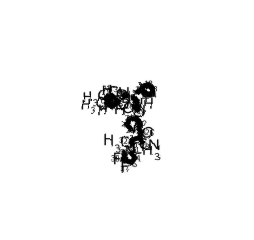 CC1(C)[C@@H]2C[C@H]3OB([C@H](Cc4ccccc4)NC(=O)O[C@H]4CCCN(C(=O)C(C#N)CC(C)(C)N5CCC(F)(F)C5)C4)O[C@@]3(C)[C@H]1C2